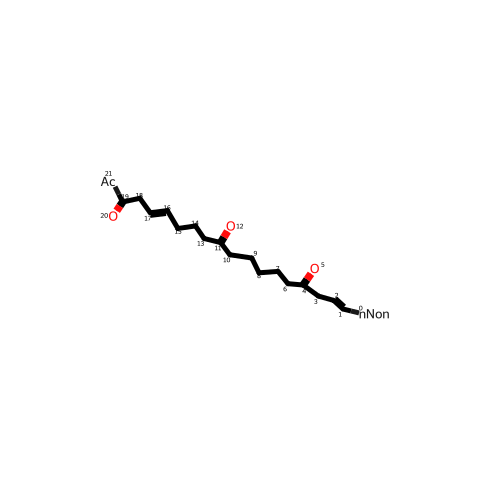 CCCCCCCCCC=CCC(=O)CCCCCC(=O)CCCC=CCC(=O)C(C)=O